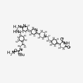 Cc1cc(C(=N)c2cc(-c3ccc(C4CCN(CCc5ccc([C@@H]6CCC(=O)NC6=O)cc5)CC4)nc3)cnc2N)ccc1[C@@H](C)C/N=C(\ON)C(C)(C)C